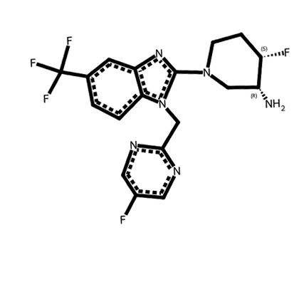 N[C@@H]1CN(c2nc3cc(C(F)(F)F)ccc3n2Cc2ncc(F)cn2)CC[C@@H]1F